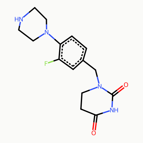 O=C1CCN(Cc2ccc(N3CCNCC3)c(F)c2)C(=O)N1